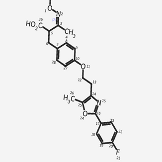 CCO/N=C(/C)C(Cc1ccc(OCCc2nc(-c3ccc(F)cc3)oc2C)cc1)C(=O)O